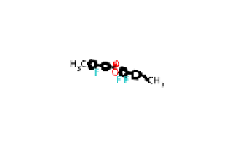 CCCC1CCC(c2ccc(OC(=O)c3ccc(-c4ccc(C)cc4F)cc3)c(F)c2F)CC1